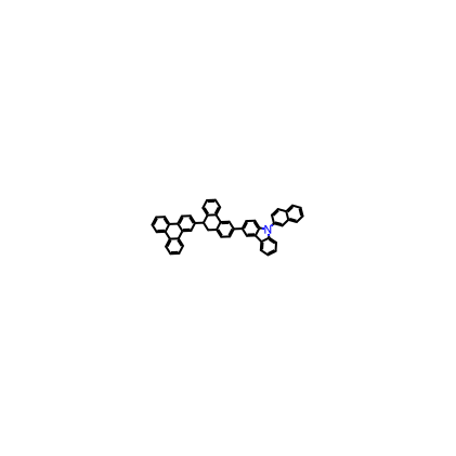 c1ccc2c(c1)-c1cc(-c3ccc4c(c3)c3ccccc3n4-c3ccc4ccccc4c3)ccc1CC2c1ccc2c3ccccc3c3ccccc3c2c1